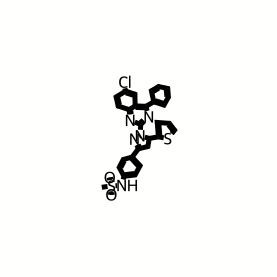 CS(=O)(=O)Nc1ccc(C2=NN(c3nc(-c4ccccc4)c4cc(Cl)ccc4n3)C(c3cccs3)C2)cc1